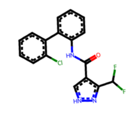 O=C(Nc1ccccc1-c1ccccc1Cl)c1c[nH]nc1C(F)F